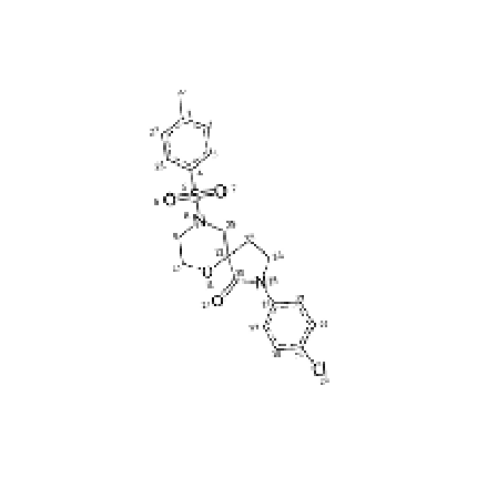 Cc1ccc(S(=O)(=O)N2CCOC3(CCN(c4ccc(Cl)cc4)C3=O)C2)cc1